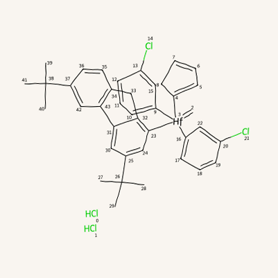 Cl.Cl.[CH2]=[Hf]([C]1=CC=CC1)([c]1cccc(Cl)c1)([c]1cccc(Cl)c1)[c]1cc(C(C)(C)C)cc2c1Cc1ccc(C(C)(C)C)cc1-2